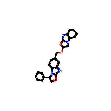 c1ccc(-c2coc3nc4cc(COc5cn6c(nc7ccccc76)o5)ccc4n23)cc1